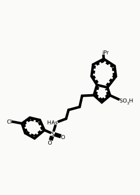 CC(C)c1ccc2c(CCCC[AsH]S(=O)(=O)c3ccc(Cl)cc3)cc(S(=O)(=O)O)c-2cc1